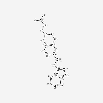 CN(C)CCC1CCc2cc(OCc3occ4ccccc34)ccc2C1